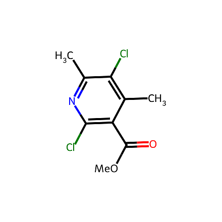 COC(=O)c1c(Cl)nc(C)c(Cl)c1C